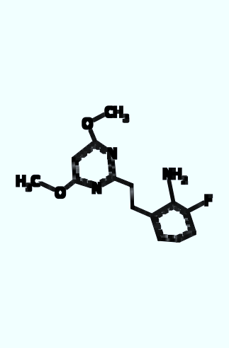 COc1cc(OC)nc(CCc2cccc(F)c2N)n1